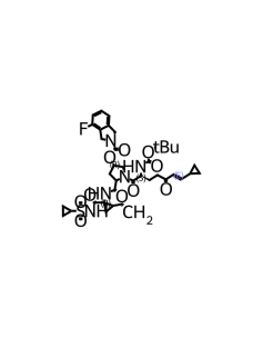 C=CC1C[C@]1(NC(=O)C1C[C@@H](OC(=O)N2Cc3cccc(F)c3C2)CN1C(=O)[C@H](CCC(=O)/C=C/C1CC1)NC(=O)OC(C)(C)C)C(=O)NS(=O)(=O)C1CC1